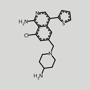 Nc1ncc(-c2cccs2)c2cc(CN3CCC(N)CC3)cc(Cl)c12